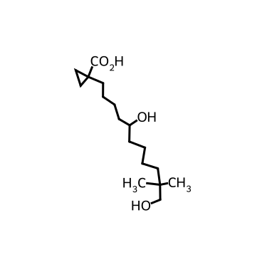 CC(C)(CO)CCCCC(O)CCCCC1(C(=O)O)CC1